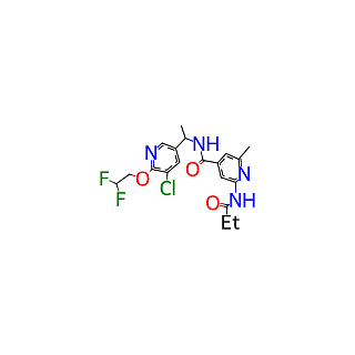 CCC(=O)Nc1cc(C(=O)NC(C)c2cnc(OCC(F)F)c(Cl)c2)cc(C)n1